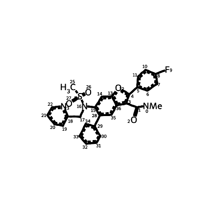 CNC(=O)c1c(-c2ccc(F)cc2)oc2cc(N(Cc3ccccn3)S(C)(=O)=O)c(-c3ccccc3)cc12